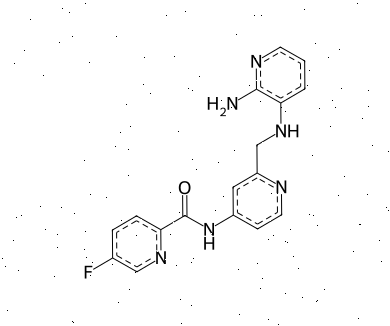 Nc1ncccc1NCc1cc(NC(=O)c2ccc(F)cn2)ccn1